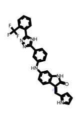 O=C1Nc2cc(Nc3cccc(-c4nnc(-c5ccccc5C(F)(F)F)[nH]4)c3)ccc2/C1=C/c1ccc[nH]1